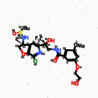 COc1cc(OCCO)cc(C(=O)NC[C@@](O)(c2cc3c(c(Cl)n2)OC[C@@]3(C)N[S+]([O-])C(C)(C)C)C(F)(F)F)c1